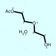 CC(=O)OCCOCCO.O